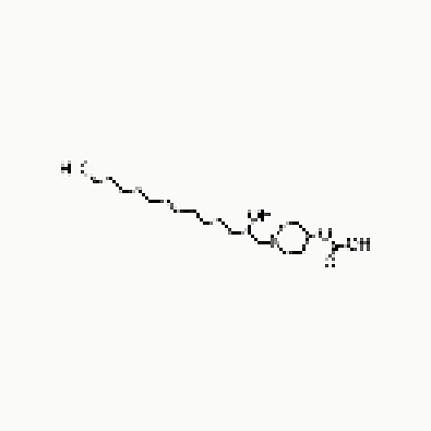 CCCCCCCCCCCCC(O)CN1CCC(OC(=O)O)CC1